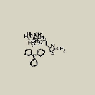 CC[C@@H](/C=C/c1csc(C)n1)O[Si](C)(C)C(C)(C)C.I.c1ccc(P(c2ccccc2)c2ccccc2)cc1